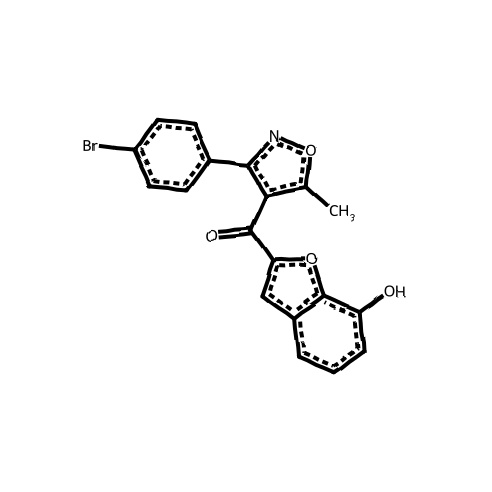 Cc1onc(-c2ccc(Br)cc2)c1C(=O)c1cc2cccc(O)c2o1